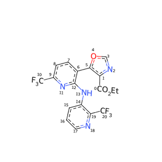 CCOC(=O)c1ncoc1-c1ccc(C(F)(F)F)nc1Nc1cccnc1C(F)(F)F